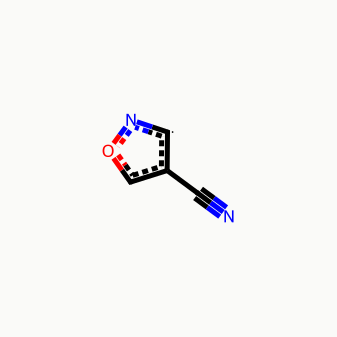 N#Cc1[c]noc1